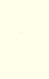 [O]=[Fe].[S]=[Au]